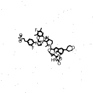 Cc1cc(-n2nc3c(c2-n2ccn(-c4ccc(CCS(C)(=O)=O)cc4F)c2=O)C(C)N(C(=O)c2cc4cc(C5CCOCC5)ccc4n2C2(c4noc(=O)[nH]4)CC2C)CC3)cc(C)c1F